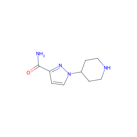 NC(=O)c1ccn(C2CCNCC2)n1